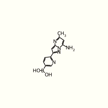 Cc1cc(N)n2nc(-c3ccc(B(O)O)cn3)cc2n1